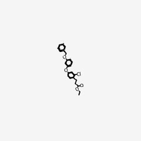 CCOC(=O)CCc1ccc(Oc2cccc(OCc3ccccc3)c2)cc1Cl